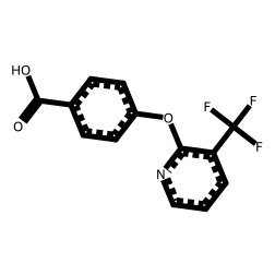 O=C(O)c1ccc(Oc2ncccc2C(F)(F)F)cc1